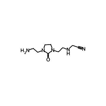 N#CCNCCN1CCN(CCN)C1=O